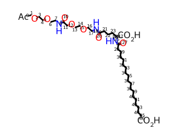 CC(=O)COCCOCCNC(=O)COCCOCCNC(=O)CCC[C@H](NC(=O)CCCCCCCCCCCCCCCCCCC(=O)O)C(=O)O